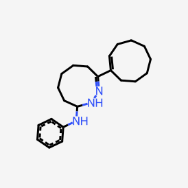 C1=C(C2=NNC(Nc3ccccc3)CCCCC2)CCCCCCC1